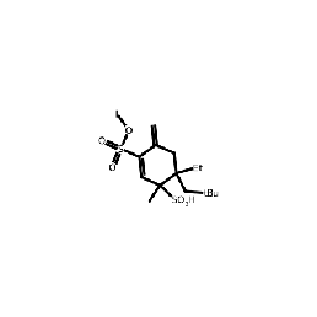 C=C1CC(CC)(CC(C)(C)C)C(C)(S(=O)(=O)O)C=C1S(=O)(=O)OI